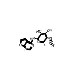 C[C@@H]1O[C@H](Nc2ncnc3occc23)[C@H](O)[C@H](O)[C@H]1N=[N+]=[N-]